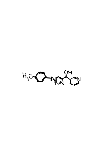 Cc1ccc(-n2cc(C(O)c3cccnc3)nn2)cc1